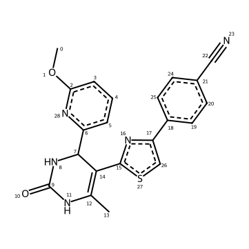 COc1cccc(C2NC(=O)NC(C)=C2c2nc(-c3ccc(C#N)cc3)cs2)n1